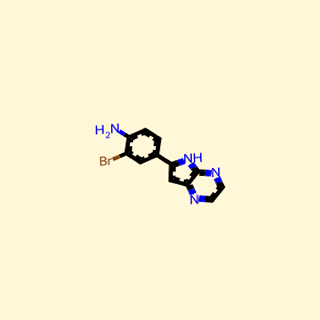 Nc1ccc(-c2cc3nccnc3[nH]2)cc1Br